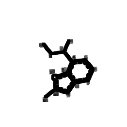 CCC(C)c1cccc2cc(C)oc12